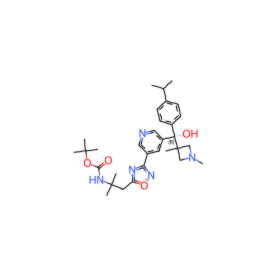 CC(C)c1ccc([C@](O)(c2cncc(-c3noc(CC(C)(C)NC(=O)OC(C)(C)C)n3)c2)C2(C)CN(C)C2)cc1